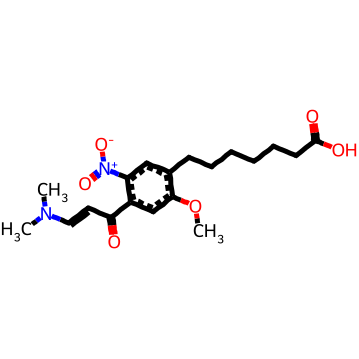 COc1cc(C(=O)C=CN(C)C)c([N+](=O)[O-])cc1CCCCCCC(=O)O